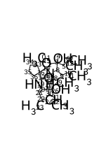 CCCC(O)(CCC)[C@@H](CC(C)C)NC(=O)C1(C(=O)N[C@H](CC(C)C)C(O)(CCC)CCC)CCCC1